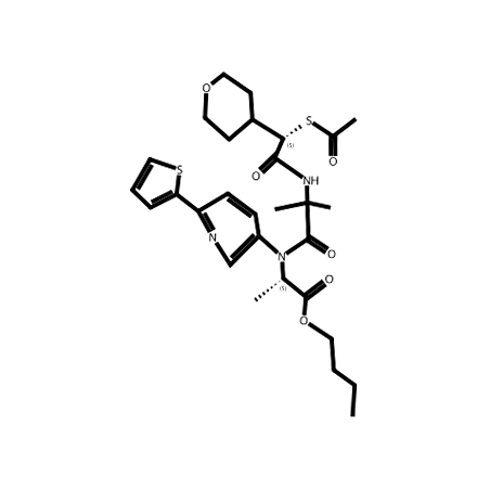 CCCCOC(=O)[C@H](C)N(C(=O)C(C)(C)NC(=O)[C@@H](SC(C)=O)C1CCOCC1)c1ccc(-c2cccs2)nc1